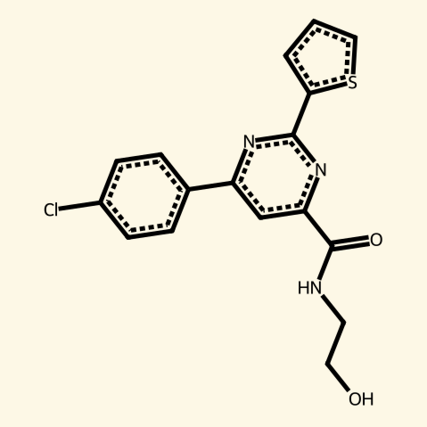 O=C(NCCO)c1cc(-c2ccc(Cl)cc2)nc(-c2cccs2)n1